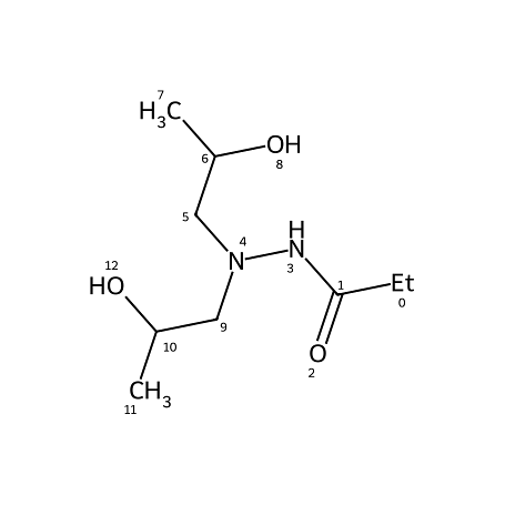 CCC(=O)NN(CC(C)O)CC(C)O